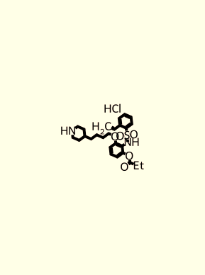 C=Cc1ccccc1S(=O)(=O)Nc1c(OCCCCC2CCNCC2)cccc1OC(=O)CC.Cl